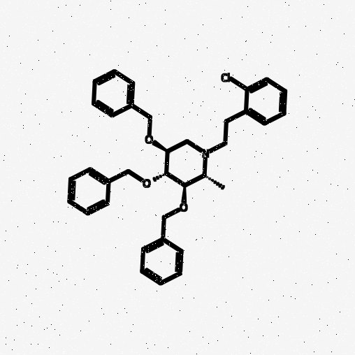 C[C@@H]1[C@@H](OCc2ccccc2)[C@H](OCc2ccccc2)[C@@H](OCc2ccccc2)CN1CCc1ccccc1Cl